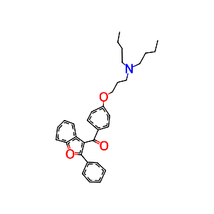 CCCCN(CCCC)CCCOc1ccc(C(=O)c2c(-c3ccccc3)oc3ccccc23)cc1